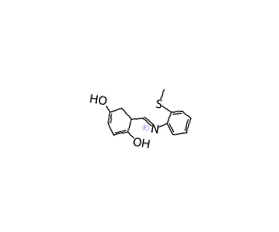 CSc1ccccc1/N=C/C1CC(O)=CC=C1O